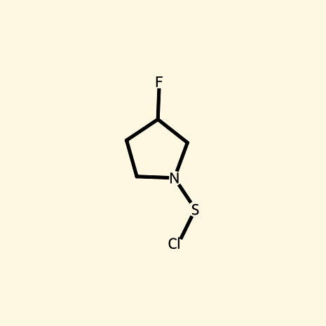 FC1CCN(SCl)C1